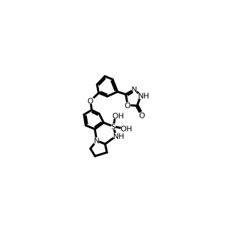 O=c1[nH]nc(-c2cccc(Oc3ccc4c(c3)S(O)(O)NC3CCCN43)c2)o1